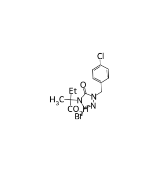 CCC(C)(C(=O)O)n1c(Br)nn(Cc2ccc(Cl)cc2)c1=O